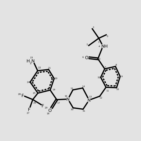 CC(C)(C)NC(=O)c1cccc(CN2CCN(C(=O)c3ccc(N)cc3C(F)(F)F)CC2)c1